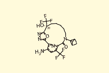 Nc1cc(C(F)(F)F)c2nc1-c1nnc(o1)[C@@](O)(C(F)(F)F)CCCCCN(C1C3CC1C3)C2=O